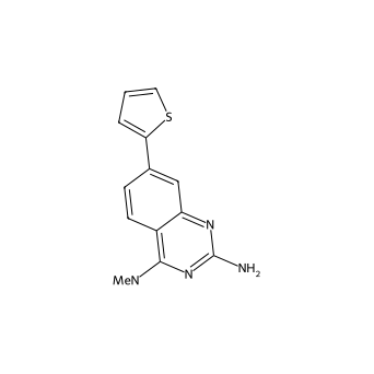 CNc1nc(N)nc2cc(-c3cccs3)ccc12